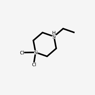 CC[SiH]1CC[Si](Cl)(Cl)CC1